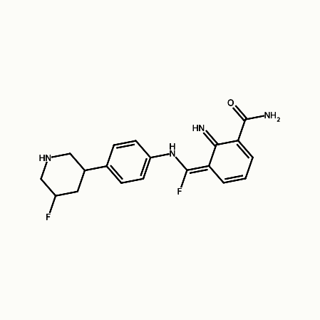 N=C1C(C(N)=O)=CC=C/C1=C(\F)Nc1ccc(C2CNCC(F)C2)cc1